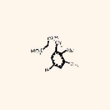 Cc1c[c]([Na])cc(C)c1C(C)(C)C.O=C(O)CC(=O)O